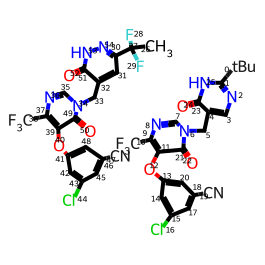 CC(C)(C)c1ncc(Cn2cnc(C(F)(F)F)c(Oc3cc(Cl)cc(C#N)c3)c2=O)c(=O)[nH]1.CC(F)(F)c1cc(Cn2cnc(C(F)(F)F)c(Oc3cc(Cl)cc(C#N)c3)c2=O)c(=O)[nH]n1